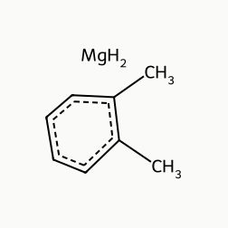 Cc1ccccc1C.[MgH2]